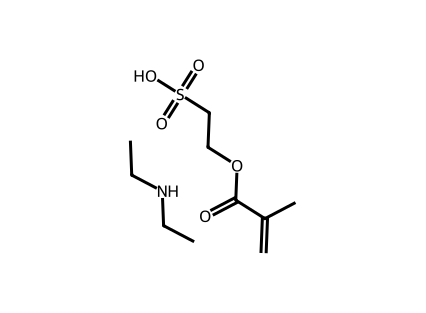 C=C(C)C(=O)OCCS(=O)(=O)O.CCNCC